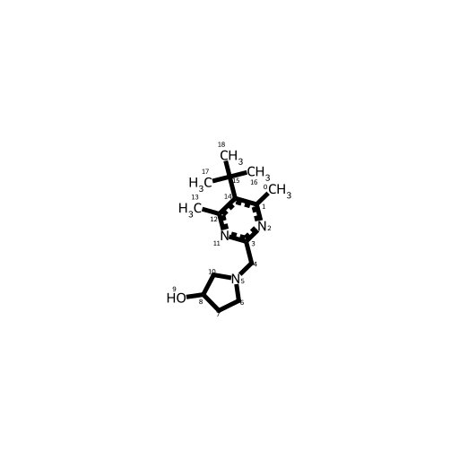 Cc1nc(CN2CCC(O)C2)nc(C)c1C(C)(C)C